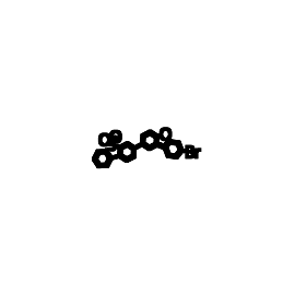 O=S1(=O)c2ccccc2-c2ccc(-c3ccc4oc5cc(Br)ccc5c4c3)cc21